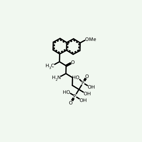 COc1ccc2c(C(C)C(=O)C(N)CCC(O)(P(=O)(O)O)P(=O)(O)O)cccc2c1